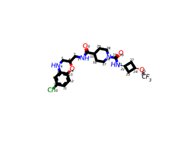 O=C(NCC1CNc2cc(Cl)ccc2O1)C1CCN(C(=O)N[C@H]2C[C@@H](OC(F)(F)F)C2)CC1